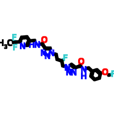 CC(F)(F)c1ccc(CNC(=O)c2cn(CCC(F)Cn3cc(C(=O)NCC4=CCCC(OCF)=C4)nn3)nn2)cn1